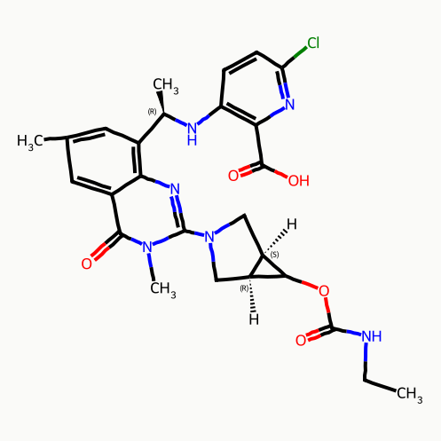 CCNC(=O)OC1[C@H]2CN(c3nc4c([C@@H](C)Nc5ccc(Cl)nc5C(=O)O)cc(C)cc4c(=O)n3C)C[C@@H]12